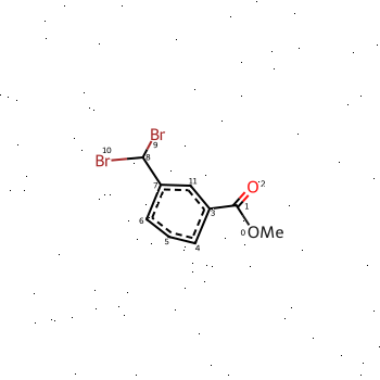 COC(=O)c1cccc(C(Br)Br)c1